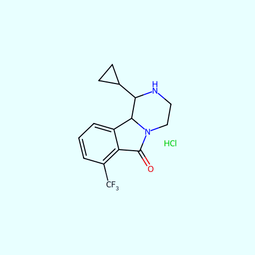 Cl.O=C1c2c(cccc2C(F)(F)F)C2C(C3CC3)NCCN12